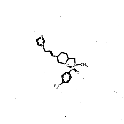 CN(CC1CCC(C=CCn2ccnc2)CC1)S(=O)(=O)c1ccc(C(F)(F)F)cc1